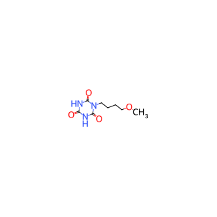 COCCCCn1c(=O)[nH]c(=O)[nH]c1=O